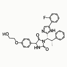 C[C@@H](c1ccccc1)[C@@H](c1ncc(-c2ccccc2F)[nH]1)N1C(=O)NC(c2ccc(OCCO)cc2)C1=O